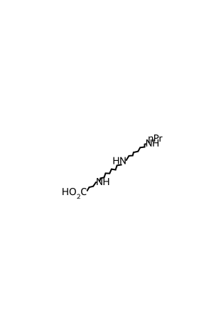 CCCNCCCCCCCCNCCCCCCCCNCCCCC(=O)O